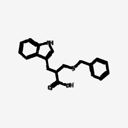 O=C(O)C(CSCc1ccccc1)Cc1c[nH]c2ccccc12